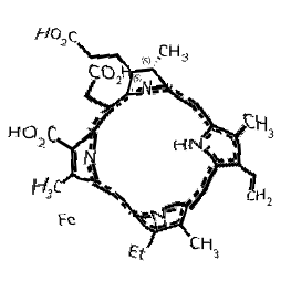 C=Cc1c(C)c2cc3nc(c(CC(=O)O)c4nc(cc5[nH]c(cc1[nH]2)c(C)c5CC)C(C)=C4C(=O)O)[C@@H](CCC(=O)O)[C@@H]3C.[Fe]